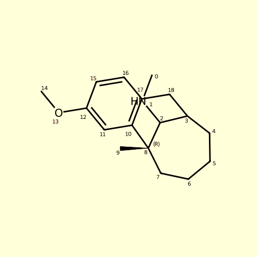 CNC1C2CCCC[C@]1(C)c1cc(OC)ccc1C2